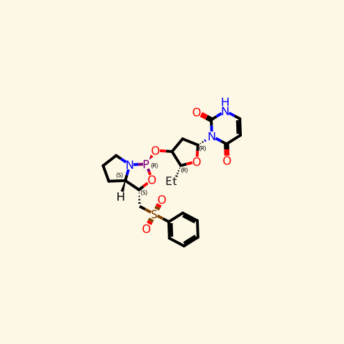 CC[C@H]1O[C@@H](n2c(=O)cc[nH]c2=O)CC1O[P@@]1O[C@H](CS(=O)(=O)c2ccccc2)[C@@H]2CCCN21